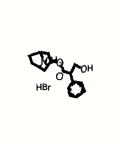 Br.CN1C2CCC1CC(OC(=O)C(CO)c1ccccc1)C2